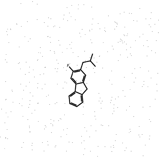 C[C](C)Cc1cc2c(cc1F)-c1ccccc1C2